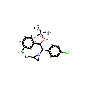 CCC1C[N@]1[C@H](c1ccc(Cl)cc1)[C@H](O[Si](C)(C)C(C)(C)C)c1cccc(Cl)c1